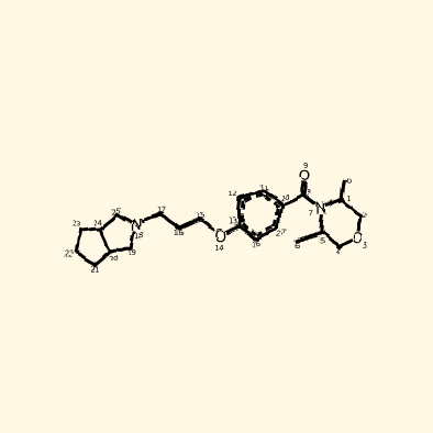 CC1COCC(C)N1C(=O)c1ccc(OCCCN2CC3CCCC3C2)cc1